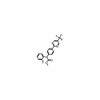 COC(=O)C(c1ccc(-c2ncc(C(F)(F)F)cn2)cc1)c1ccccc1F